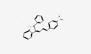 CN(C)c1ccc(C=CC=C2C(c3ccccc3)=[N+](C)c3ccccc32)cc1